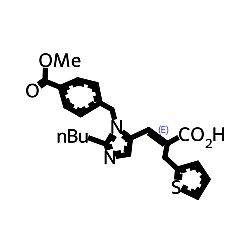 CCCCc1ncc(/C=C(\Cc2cccs2)C(=O)O)n1Cc1ccc(C(=O)OC)cc1